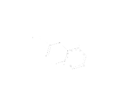 O=CC1=COc2ccccc2C1